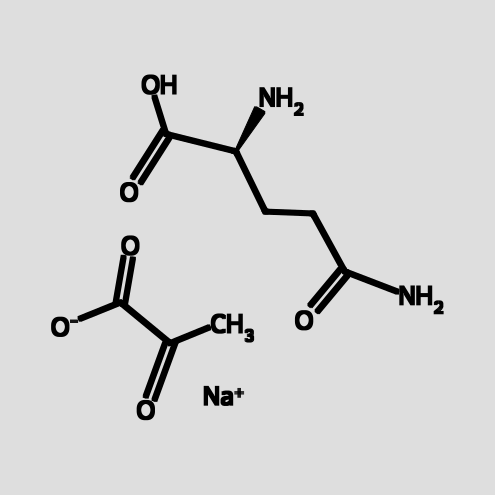 CC(=O)C(=O)[O-].NC(=O)CC[C@H](N)C(=O)O.[Na+]